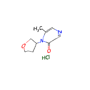 Cc1cncc(=O)n1C1CCOC1.Cl